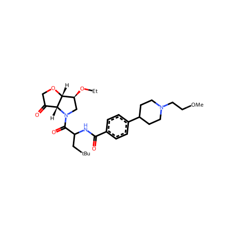 CCO[C@H]1CN(C(=O)C(CC(C)(C)C)NC(=O)c2ccc(C3CCN(CCOC)CC3)cc2)[C@@H]2C(=O)CO[C@H]12